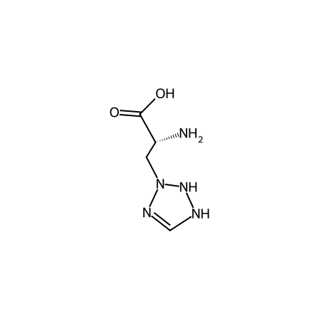 N[C@H](CN1N=CNN1)C(=O)O